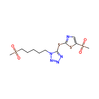 CS(=O)(=O)CCCCCn1nnnc1Sc1ncc(S(C)(=O)=O)s1